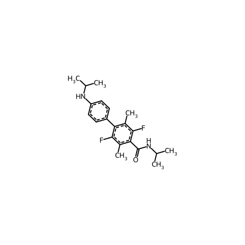 Cc1c(F)c(-c2ccc(NC(C)C)cc2)c(C)c(F)c1C(=O)NC(C)C